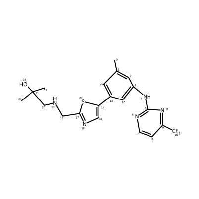 Cc1cc(Nc2nccc(C(F)(F)F)n2)cc(-c2cnc(CNCC(C)(C)O)s2)c1